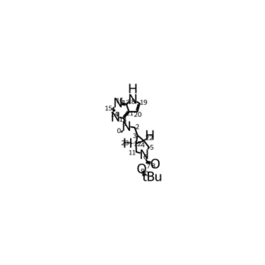 CN(CC1[C@@H]2CN(C(=O)OC(C)(C)C)C[C@@H]12)c1ncnc2[nH]ccc12